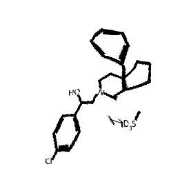 CS(=O)(=O)O.OC(CN1CCC2(c3ccccc3)CCCC2C1)c1ccc(Cl)cc1